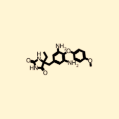 CCC1(Cc2cc(N)c(Oc3ccc(OC)cc3)c(N)c2)NC(=O)NC1=O